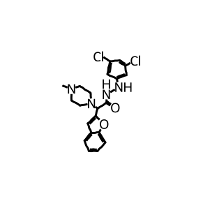 CN1CCN(C(C(=O)NNc2cc(Cl)cc(Cl)c2)c2cc3ccccc3o2)CC1